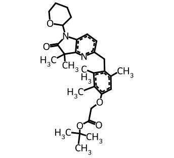 Cc1cc(OCC(=O)OC(C)(C)C)c(C)c(C)c1Cc1ccc2c(n1)C(C)(C)C(=O)N2C1CCCCO1